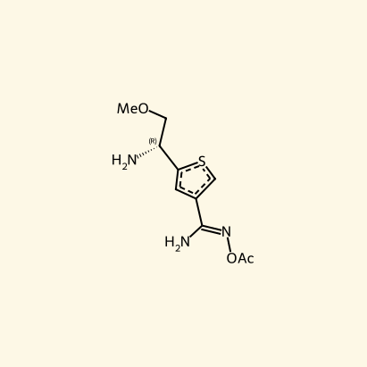 COC[C@@H](N)c1cc(C(N)=NOC(C)=O)cs1